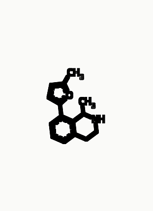 Cc1ccc(-c2cccc3c2C(C)NCC3)o1